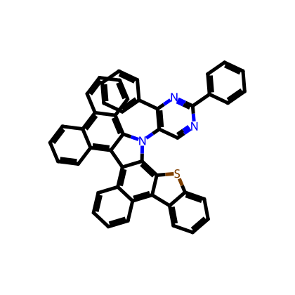 c1ccc(-c2ncc(-n3c4c5ccccc5c5ccccc5c4c4c5ccccc5c5c6ccccc6sc5c43)c(-c3ccccc3)n2)cc1